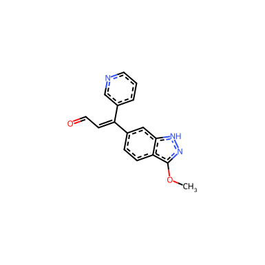 COc1n[nH]c2cc(/C(=C/C=O)c3cccnc3)ccc12